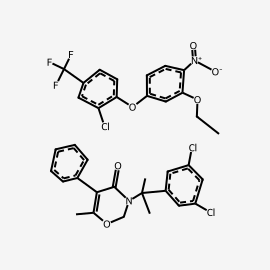 CC1=C(c2ccccc2)C(=O)N(C(C)(C)c2cc(Cl)cc(Cl)c2)CO1.CCOc1cc(Oc2ccc(C(F)(F)F)cc2Cl)ccc1[N+](=O)[O-]